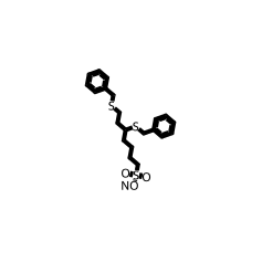 O=NS(=O)(=O)CCCCC(CCSCc1ccccc1)SCc1ccccc1